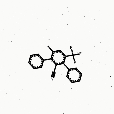 Cc1cc(C(F)(F)F)c(-c2ccccc2)c(C#N)c1-c1ccccc1